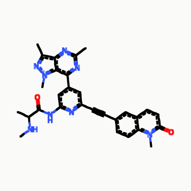 CNC(C)C(=O)Nc1cc(-c2nc(C)nc3c(C)nn(C)c23)cc(C#Cc2ccc3c(ccc(=O)n3C)c2)n1